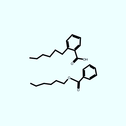 CCCCCCOC(=O)c1ccccc1.CCCCCCc1ccccc1C(=O)O